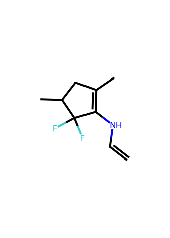 C=CNC1=C(C)CC(C)C1(F)F